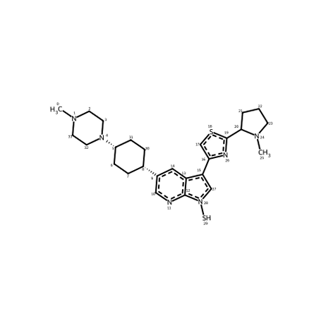 CN1CCN([C@H]2CC[C@@H](c3cnc4c(c3)c(-c3csc(C5CCCN5C)n3)cn4S)CC2)CC1